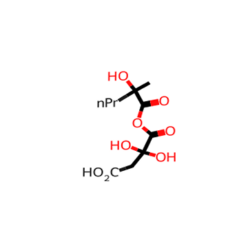 CCCC(C)(O)C(=O)OC(=O)C(O)(O)CC(=O)O